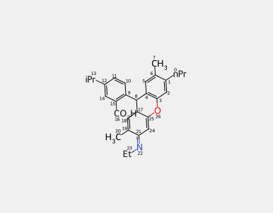 CCCc1cc2c(cc1C)C(c1ccc(C(C)C)cc1C(=O)O)C1C=C(C)/C(=N\CC)C=C1O2